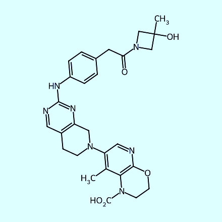 Cc1c(N2CCc3cnc(Nc4ccc(CC(=O)N5CC(C)(O)C5)cc4)nc3C2)cnc2c1N(C(=O)O)CCO2